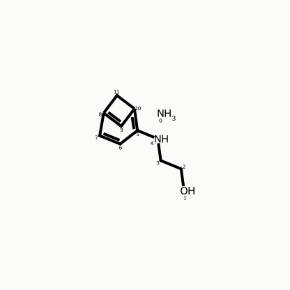 N.OCCNc1ccc2cc1C2